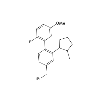 COc1ccc(F)c(-c2ccc(CC(C)C)cc2C2CCCC2C)c1